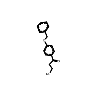 N#CCCC(=O)c1ccc(OCc2ccccc2)cc1